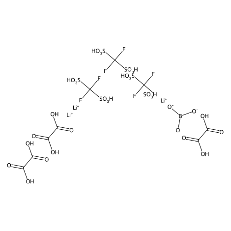 O=C(O)C(=O)O.O=C(O)C(=O)O.O=C(O)C(=O)O.O=S(=O)(O)C(F)(F)S(=O)(=O)O.O=S(=O)(O)C(F)(F)S(=O)(=O)O.O=S(=O)(O)C(F)(F)S(=O)(=O)O.[Li+].[Li+].[Li+].[O-]B([O-])[O-]